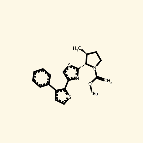 C=C(OC(C)(C)C)N1CC[C@H](C)[C@H]1c1nc(-c2sccc2-c2ccccc2)cs1